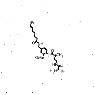 COc1cc(CNC(=O)CCCC/C=C/C(C)C)ccc1OC(=O)N(C)CCNC(=O)[C@@H](N)C(C)C